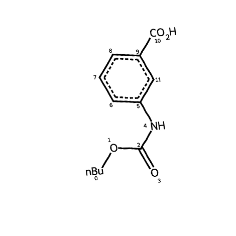 CCCCOC(=O)Nc1cccc(C(=O)O)c1